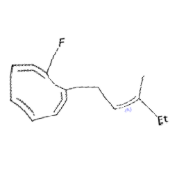 CC/C(C)=C/Cc1ccccc1F